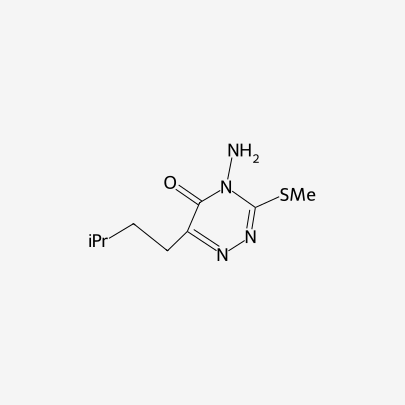 CSc1nnc(CCC(C)C)c(=O)n1N